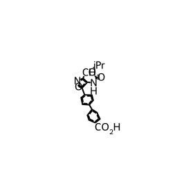 Cc1noc(-c2ccc(-c3ccc(C(=O)O)cc3)cc2)c1NC(=O)OC(C)C